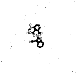 N#Cc1c(NC(=O)c2cccc([N+](=O)[O-])c2C(=O)O)sc2c1CCCC2